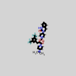 CN(C)C1CCN(C(=O)C(Cc2cc(C(F)(F)F)cc(C(F)(F)F)c2)OC(=O)N2CCC(N3CCc4ccccc4NC3=O)CC2)CC1